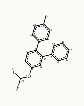 Cc1ccc(-c2ccc(OC(F)F)cc2-c2ccccc2)cc1